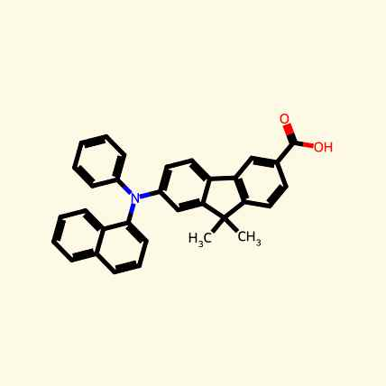 CC1(C)c2ccc(C(=O)O)cc2-c2ccc(N(c3ccccc3)c3cccc4ccccc34)cc21